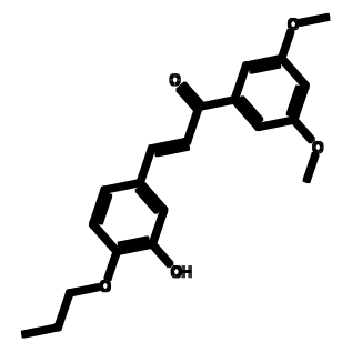 CCCOc1ccc(/C=C/C(=O)c2cc(OC)cc(OC)c2)cc1O